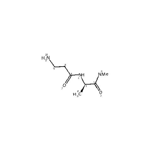 CNC(=O)[C@@H](C)NC(=O)CCN